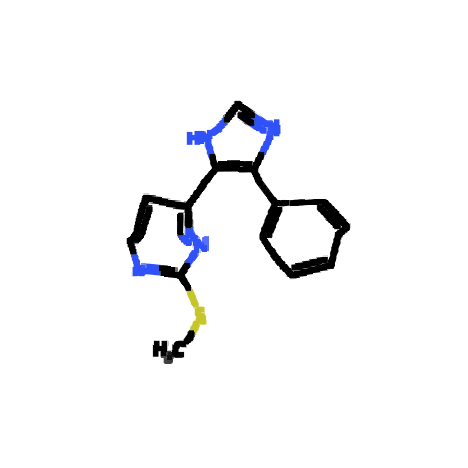 CSc1nccc(-c2[nH]cnc2-c2ccccc2)n1